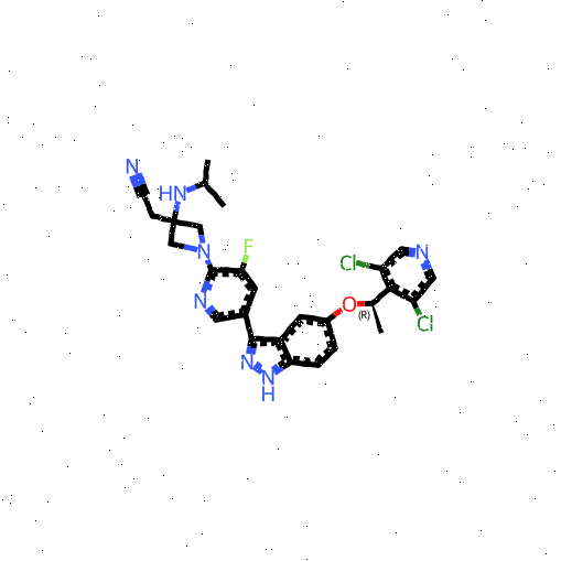 CC(C)NC1(CC#N)CN(c2ncc(-c3n[nH]c4ccc(O[C@H](C)c5c(Cl)cncc5Cl)cc34)cc2F)C1